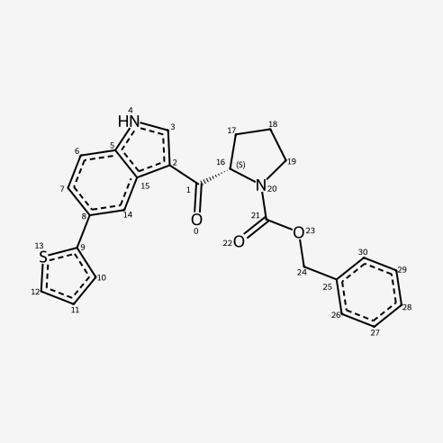 O=C(c1c[nH]c2ccc(-c3cccs3)cc12)[C@@H]1CCCN1C(=O)OCc1ccccc1